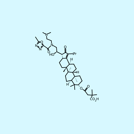 Cc1nnc(C(=O)N(CCN(C)C)C[C@H](O)[C@@H]2C(=O)C(C(C)C)=C3C2CC[C@]2(C)[C@@H]3CC[C@@H]3[C@@]4(C)CC[C@H](OC(=O)CC(C)(C)C(=O)O)C(C)(C)[C@H]4CC[C@]32C)o1